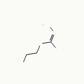 CON=C(SCCC(F)(F)F)C(=O)O